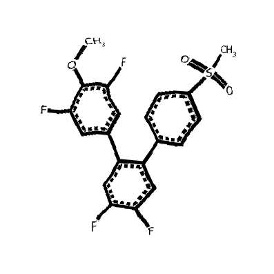 COc1c(F)cc(-c2cc(F)c(F)cc2-c2ccc(S(C)(=O)=O)cc2)cc1F